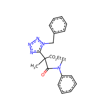 CCOC(=O)C(C)(C(=O)N(CC)c1ccccc1)c1nnnn1Cc1ccccc1